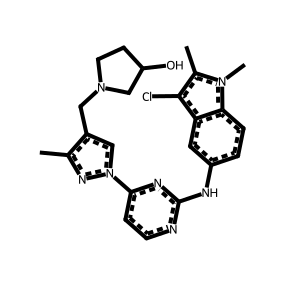 Cc1nn(-c2ccnc(Nc3ccc4c(c3)c(Cl)c(C)n4C)n2)cc1CN1CCC(O)C1